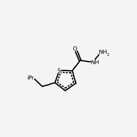 CC(C)Cc1ccc(C(=O)NN)s1